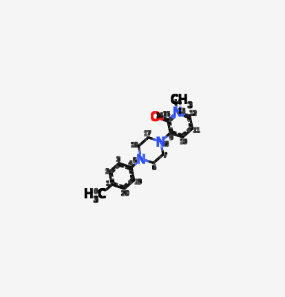 Cc1ccc(N2CCN(c3cccn(C)c3=O)CC2)cc1